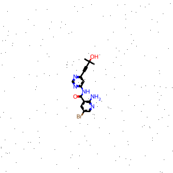 CC(C)(O)C#Cc1cc(NC(=O)c2cc(Br)cnc2N)ncn1